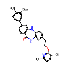 COc1cc(-c2ccc3c(c2)Nc2ccc(CCOc4nc(C)ccc4C#N)cc2NC3=O)ccc1[N+](=O)[O-]